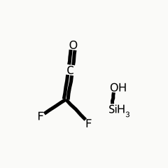 O=C=C(F)F.O[SiH3]